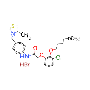 Br.CCCCCCCCCCCCCCOc1c(Cl)cccc1OCC(=O)Nc1ccc(CN2CSC=C2C)cc1